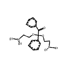 CCN(CC)CCOC(OCCN(CC)CC)(C(=O)c1ccccc1)c1ccccc1